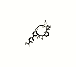 C[C@H]1CCCOc2ccc(-c3ccc(C(F)F)nc3)cc2C(=O)Nc2cccc(n2)-c2nncn21